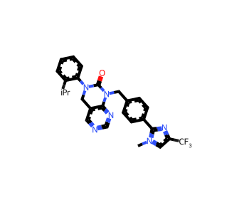 CC(C)c1ccccc1N1Cc2cncnc2N(Cc2ccc(-c3nc(C(F)(F)F)cn3C)cc2)C1=O